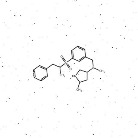 CC1CC(N(C)Cc2cccc(S(=O)(=O)N(C)Cc3ccccc3)c2)CN1